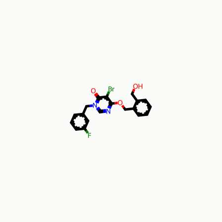 O=c1c(Br)c(OCc2ccccc2CO)ncn1Cc1cccc(F)c1